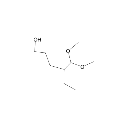 CCC(CCCO)C(OC)OC